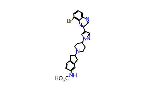 O=C(O)Nc1ccc2c(c1)CC(N1CCC(n3cc(-c4cnc5cccc(Br)c5n4)cn3)CC1)C2